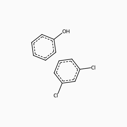 Clc1cccc(Cl)c1.Oc1ccccc1